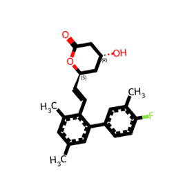 Cc1cc(C)c(C=C[C@@H]2C[C@@H](O)CC(=O)O2)c(-c2ccc(F)c(C)c2)c1